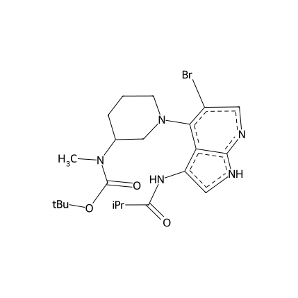 CC(C)C(=O)Nc1c[nH]c2ncc(Br)c(N3CCCC(N(C)C(=O)OC(C)(C)C)C3)c12